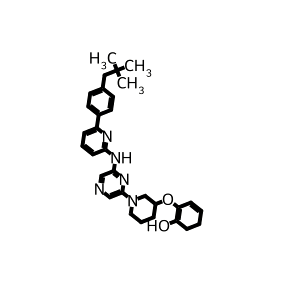 CC(C)(C)Cc1ccc(-c2cccc(Nc3cncc(N4CCCC(OC5=C(O)CCC=C5)C4)n3)n2)cc1